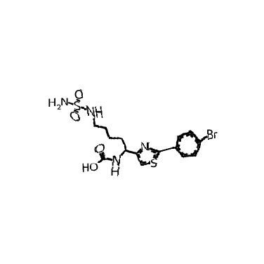 NS(=O)(=O)NCCCCC(NC(=O)O)c1csc(-c2ccc(Br)cc2)n1